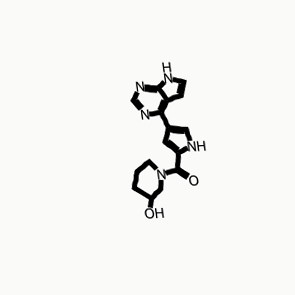 O=C(c1cc(-c2ncnc3[nH]ccc23)c[nH]1)N1CCCC(O)C1